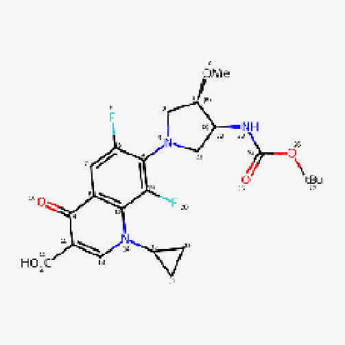 CO[C@@H]1CN(c2c(F)cc3c(=O)c(C(=O)O)cn(C4CC4)c3c2F)C[C@@H]1NC(=O)OC(C)(C)C